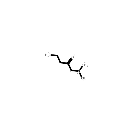 CC[CH]C(=O)CN(C)C